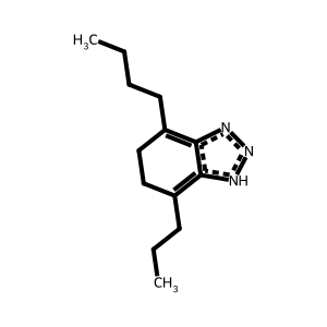 CCCCC1=c2nn[nH]c2=C(CCC)CC1